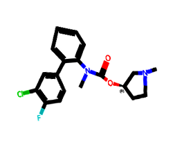 CN1CC[C@@H](OC(=O)N(C)c2ccccc2-c2ccc(F)c(Cl)c2)C1